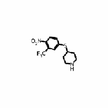 O=[N+]([O-])c1ccc(SC2CCNCC2)cc1C(F)(F)F